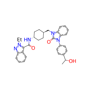 CCn1nc2ccccc2c1C(=O)N[C@H]1CC[C@H](Cn2c(=O)n(-c3ccc(C(C)O)cc3)c3ccccc32)CC1